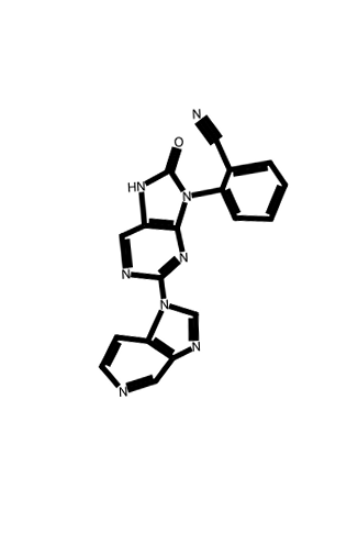 N#Cc1ccccc1-n1c(=O)[nH]c2cnc(-n3cnc4cnccc43)nc21